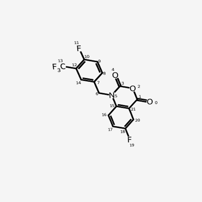 O=c1oc(=O)n(Cc2ccc(F)c(C(F)(F)F)c2)c2ccc(F)cc12